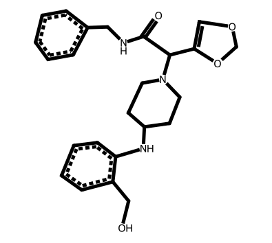 O=C(NCc1ccccc1)C(C1=COCO1)N1CCC(Nc2ccccc2CO)CC1